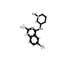 CCN1CCCC(Nc2nc(C(Cl)(Cl)Cl)nc3ccc([N+](=O)[O-])cc23)C1